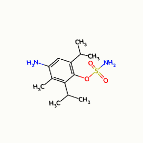 Cc1c(N)cc(C(C)C)c(OS(N)(=O)=O)c1C(C)C